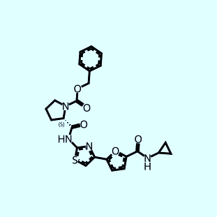 O=C(NC1CC1)c1ccc(-c2csc(NC(=O)[C@@H]3CCCN3C(=O)OCc3ccccc3)n2)o1